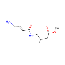 CC(CNC(=O)C=CCN)CC(=O)OC(C)(C)C